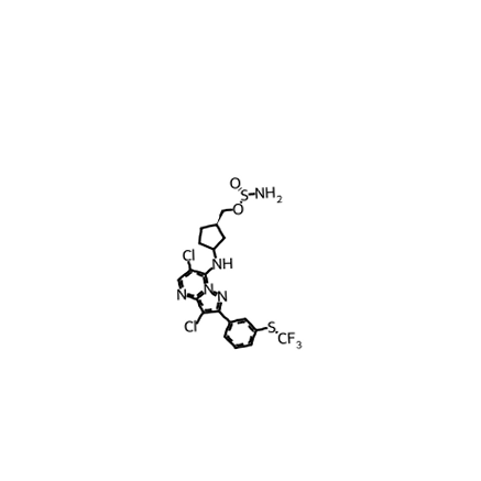 NS(=O)OC[C@@H]1CCC(Nc2c(Cl)cnc3c(Cl)c(-c4cccc(SC(F)(F)F)c4)nn23)C1